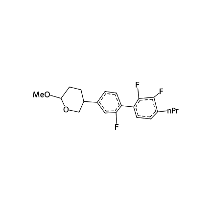 CCCc1ccc(-c2ccc(C3CCC(OC)OC3)cc2F)c(F)c1F